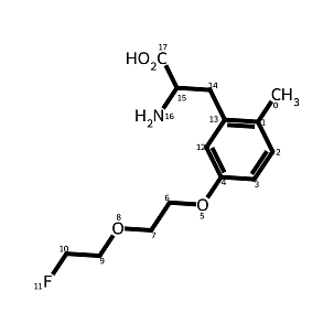 Cc1ccc(OCCOCCF)cc1CC(N)C(=O)O